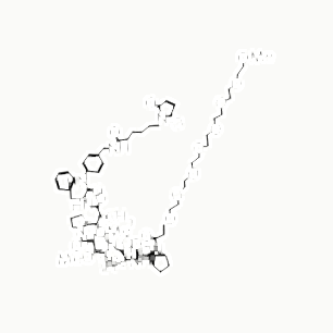 CC[C@H](C)[C@@H]([C@@H](CC(=O)N1CCC[C@H]1[C@H](OC)[C@@H](C)C(=O)N[C@@H](Cc1ccccc1)C(=O)Nc1ccc(CNC(=O)CCCCCN2C(=O)C=CC2=O)cc1)OC)N(C)C(=O)[C@@H](NC(=O)[C@@H]1C2CCC([C@H]2C)N1C(=O)CCOCCOCCOCCOCCOCCOCCOCCOC)C(C)C